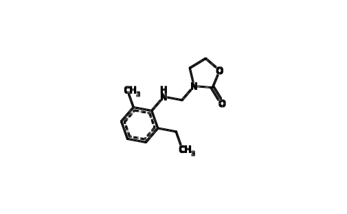 CCc1cccc(C)c1NCN1CCOC1=O